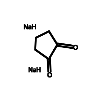 O=C1CCCC1=O.[NaH].[NaH]